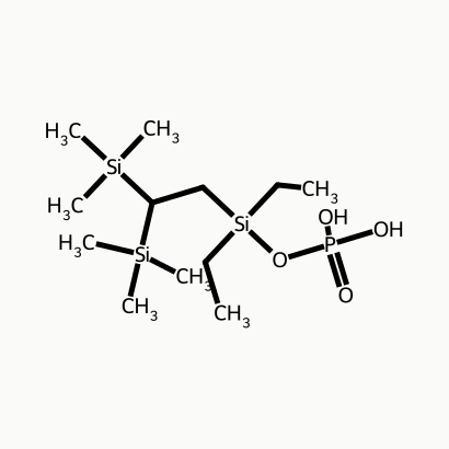 CC[Si](CC)(CC([Si](C)(C)C)[Si](C)(C)C)OP(=O)(O)O